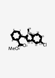 COC(=O)c1ccccc1-c1cc2cc(Cl)ccc2n1C